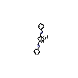 C(=C\c1cc(/C=C/c2ccccc2)[nH]n1)/c1ccccc1